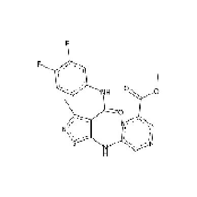 COC(=O)c1cncc(Nc2snc(C)c2C(=O)Nc2ccc(F)c(F)c2)n1